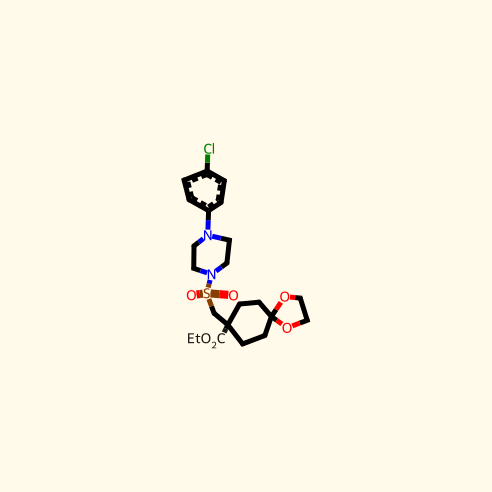 CCOC(=O)C1(CS(=O)(=O)N2CCN(c3ccc(Cl)cc3)CC2)CCC2(CC1)OCCO2